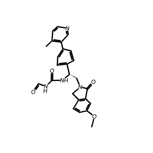 COc1ccc2c(c1)C(=O)N(C[C@H](NC(=O)NC=O)c1ccc(-c3cnccc3C)cc1)C2